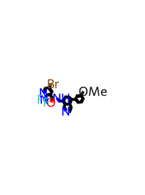 COc1cccc(-c2ccc(CNC(=O)c3cc(Br)cnc3N(F)F)c3cnccc23)c1